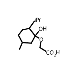 CC1CCC(C(C)C)C(O)(OCC(=O)O)C1